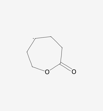 O=C1CC[CH]CCO1